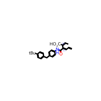 C=C/C=C(C(=O)Nc1ccc(Cc2ccc(C(C)(C)C)cc2)cc1)\C(=C/C)C(=O)O